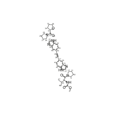 COC(=O)N[C@H](C(=O)N1CCC[C@H]1c1nc2cc(C#Cc3ccc4[nH]c([C@@H]5CCCN5C(=O)[C@H]5CCCO5)nc4c3)ccc2[nH]1)C(C)C